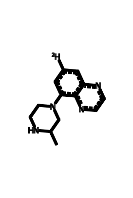 [2H]c1cc(N2CCNC(C)C2)c2nccnc2c1